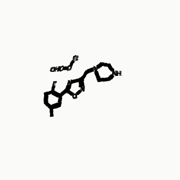 CCOC=O.Cc1ccc(F)c(-c2nc(CN3CCNCC3)no2)c1